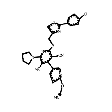 C#COc1ccc(-c2c(C#N)c(SCc3csc(-c4ccc(Cl)cc4)n3)nc(N3CCCC3)c2C#N)cc1